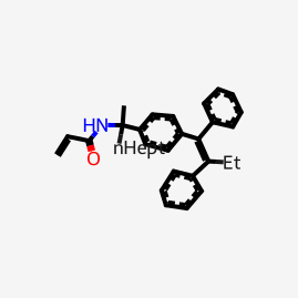 C=CC(=O)NC(C)(CCCCCCC)c1ccc(C(=C(CC)c2ccccc2)c2ccccc2)cc1